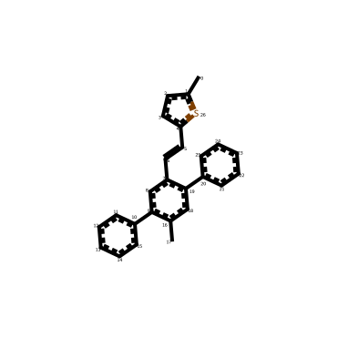 Cc1ccc(/C=C/c2cc(-c3ccccc3)c(C)cc2-c2ccccc2)s1